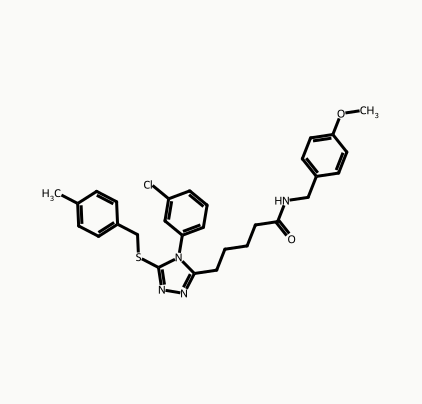 COc1ccc(CNC(=O)CCCCc2nnc(SCc3ccc(C)cc3)n2-c2cccc(Cl)c2)cc1